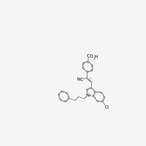 N#C/C(=C\c1cn(CCCc2ccccc2)c2cc(Cl)ccc12)c1ccc(C(=O)O)cc1